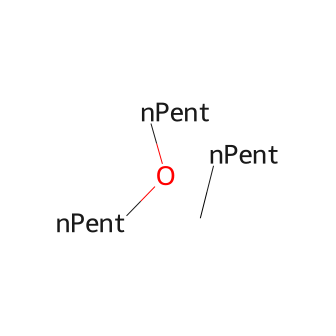 CCCCCC.CCCCCOCCCCC